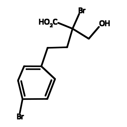 O=C(O)C(Br)(CO)CCc1ccc(Br)cc1